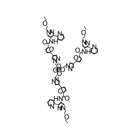 CCOCCn1cc(NC(=O)c2ccc(-c3cnn(COP(=O)(OCn4cc(-c5ccc(C(=O)Nc6cn(CCOCC)nc6-c6ccccn6)o5)cn4)OCn4cc(-c5ccc(C(=O)Nc6cn(CCOCC)nc6-c6ccccn6)o5)cn4)c3)o2)c(-c2ccccn2)n1